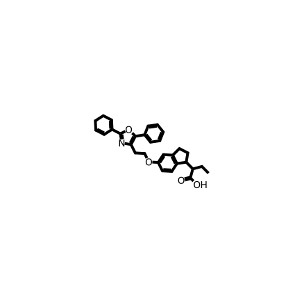 CCC(C(=O)O)C1CCc2cc(OCCc3nc(C4=CCCC=C4)oc3-c3ccccc3)ccc21